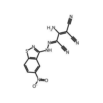 N#CC(=NNc1nsc2ccc([N+](=O)[O-])cc12)C(N)=C(C#N)C#N